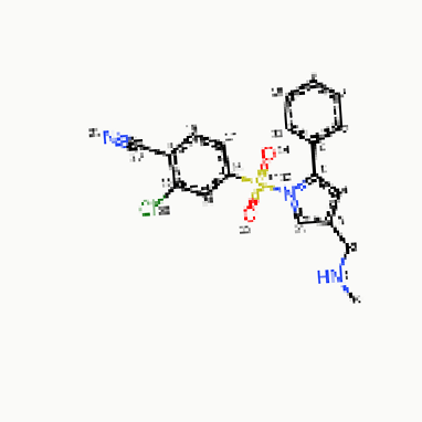 CNCc1cc(-c2ccccc2)n(S(=O)(=O)c2ccc(C#N)c(Cl)c2)c1